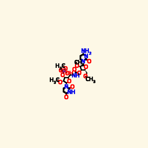 COC[C@H]1O[C@@H](n2ccc(N)nc2=O)[C@H](OC)[C@@H]1OC(=O)NC[C@H]1O[C@@H](n2ccc(=O)[nH]c2=O)[C@H](OC)[C@@H]1OP(=O)(O)OC